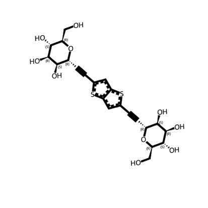 OC[C@H]1O[C@H](C#Cc2cc3sc(C#C[C@H]4O[C@H](CO)[C@@H](O)[C@H](O)[C@@H]4O)cc3s2)[C@@H](O)[C@@H](O)[C@@H]1O